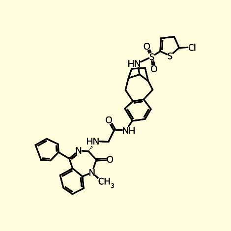 CN1C(=O)[C@@H](NCC(=O)Nc2ccc3c(c2)CC2CCC(C3)C2NS(=O)(=O)C2=CCC(Cl)S2)N=C(c2ccccc2)c2ccccc21